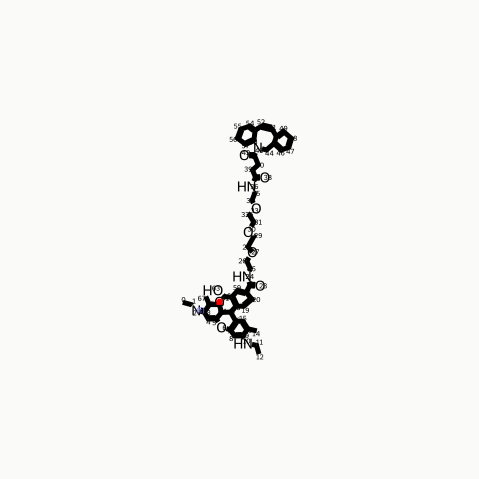 CC/N=C1/C=C2Oc3cc(NCC)c(C)cc3C(c3ccc(C(=O)NCCOCCOCCOCCNC(=O)CCC(=O)N4Cc5ccccc5C#Cc5ccccc54)cc3C(=O)O)C2CC1C